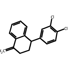 C=C1CCC(c2ccc(Cl)c(Cl)c2)c2ccccc21